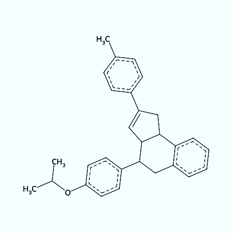 Cc1ccc(C2=CC3C(c4ccc(OC(C)C)cc4)Cc4ccccc4C3C2)cc1